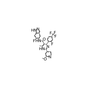 COc1cc(C2=NC(c3ccc(C(F)(F)F)cc3F)C(C(=O)Nc3cc4cn[nH]c4cc3F)=C(C)N2)ccn1